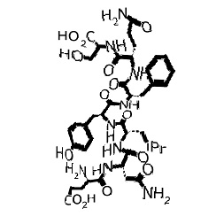 CC(C)C[C@H](NC(=O)[C@H](CC(N)=O)NC(=O)[C@@H](N)CCC(=O)O)C(=O)N[C@@H](Cc1ccc(O)cc1)C(=O)N[C@@H](Cc1ccccc1)C(=O)N[C@@H](CCC(N)=O)C(=O)N[C@@H](CO)C(=O)O